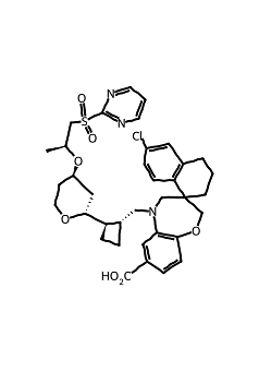 C[C@@H](CS(=O)(=O)c1ncccn1)O[C@@H]1CCO[C@@H]([C@@H]2CC[C@H]2CN2CC3(CCCc4cc(Cl)ccc43)COc3ccc(C(=O)O)cc32)C1